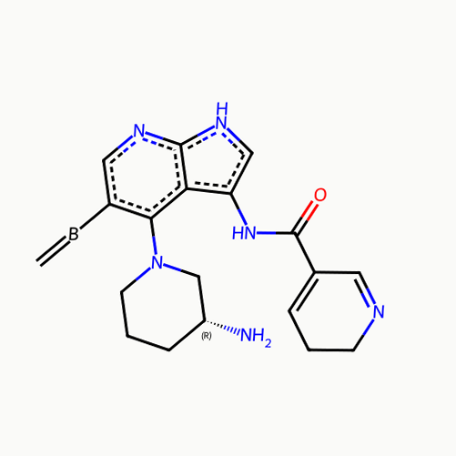 C=Bc1cnc2[nH]cc(NC(=O)C3=CCCN=C3)c2c1N1CCC[C@@H](N)C1